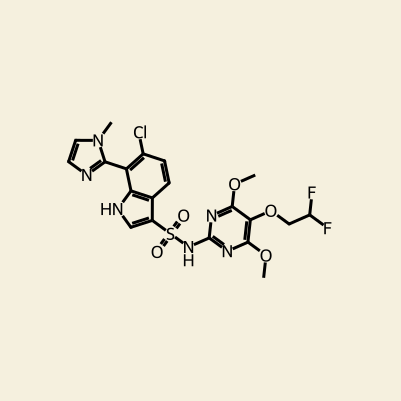 COc1nc(NS(=O)(=O)c2c[nH]c3c(-c4nccn4C)c(Cl)ccc23)nc(OC)c1OCC(F)F